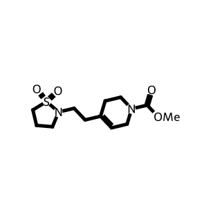 COC(=O)N1CC=C(CCN2CCCS2(=O)=O)CC1